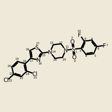 O=S(=O)(c1ccc(F)cc1F)N1CCN(c2nc(-c3ccc(Cl)cc3Cl)cs2)CC1